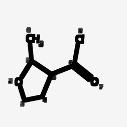 CC1OCCC1C(=O)Cl